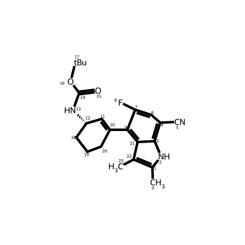 Cc1[nH]c2c(C#N)cc(F)c(C3=C[C@@H](NC(=O)OC(C)(C)C)CCC3)c2c1C